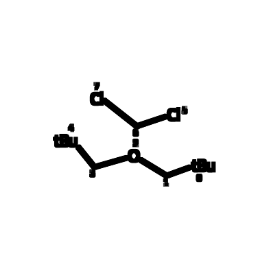 CC(C)(C)COCC(C)(C)C.ClCCl